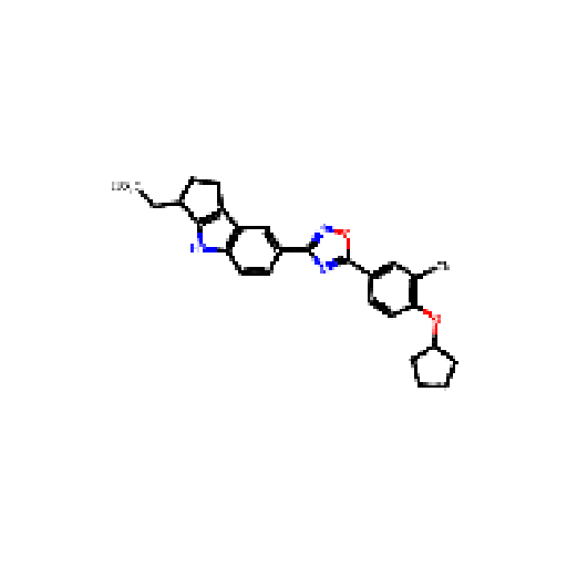 CCOC(=O)CC1CCc2c1[nH]c1ccc(-c3noc(-c4ccc(OC5CCCC5)c(C#N)c4)n3)cc21